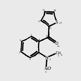 CN(N=O)c1ccccc1C(=O)c1cccs1